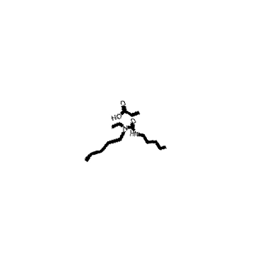 CCC(=O)O.CCCCCNC(=O)N(CC)CCCCC